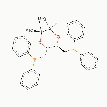 COC1(C)O[C@@H](CP(c2ccccc2)c2ccccc2)[C@H](CP(c2ccccc2)c2ccccc2)O[C@@]1(C)OC